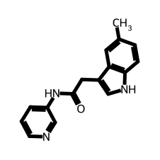 Cc1ccc2[nH]cc(CC(=O)Nc3cccnc3)c2c1